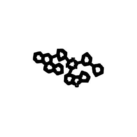 c1ccc(-c2cccc(-c3nc(-c4cccc(-c5cc6ccccc6c6ccc7ccccc7c56)c4)nc(-c4cccc5oc6ccccc6c45)n3)c2)cc1